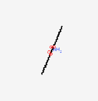 CCCCCCCCCCCCCCCCOC(=O)CC[C@H](N)C(=O)OCCCCCCCCCCCCCCCC